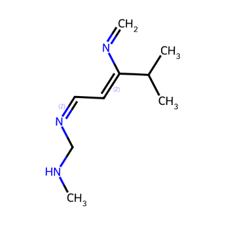 C=N/C(=C\C=N/CNC)C(C)C